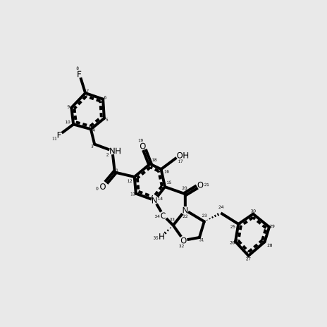 O=C(NCc1ccc(F)cc1F)c1cn2c(c(O)c1=O)C(=O)N1[C@H](Cc3ccccc3)CO[C@H]1C2